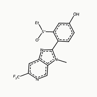 CC[S+]([O-])c1cc(O)ccc1-c1nc2cc(C(F)(F)F)ncc2n1C